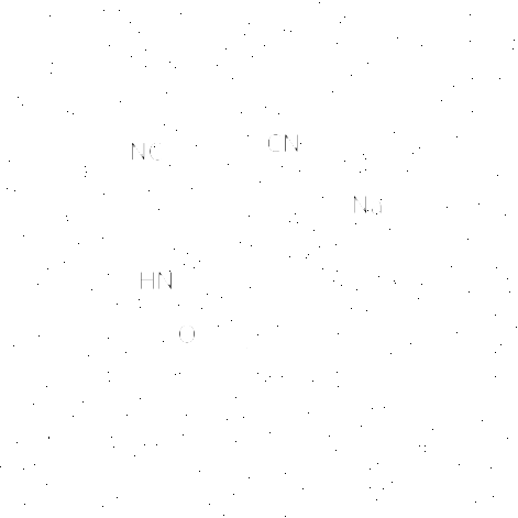 N#CC(C#N)=C1NOc2ccccc21.[Na]